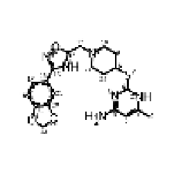 CC1=CC(N)=NC(SC2CCN(CC3NC(c4ccc5c(c4)OCO5)=NO3)CC2)N1